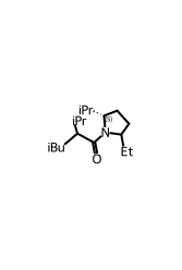 CCC(C)C(C(=O)N1C(CC)CC[C@H]1C(C)C)C(C)C